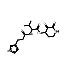 CC(C)C(NC(=O)CCc1cc[nH]c1)C(=O)NC1CCNC(=O)C1=O